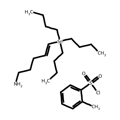 CCC[CH2][Sn]([CH]=CCCCN)([CH2]CCC)[CH2]CCC.Cc1ccccc1S(=O)(=O)Cl